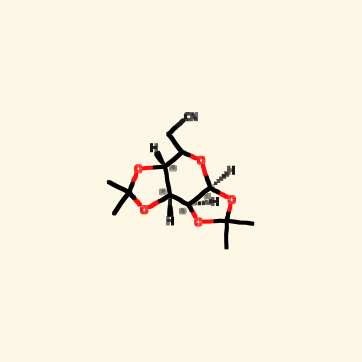 CC1(C)O[C@@H]2OC(CC#N)[C@H]3OC(C)(C)O[C@H]3[C@@H]2O1